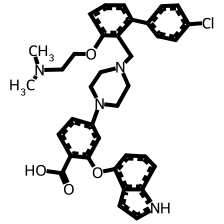 CN(C)CCOc1cccc(-c2ccc(Cl)cc2)c1CN1CCN(c2ccc(C(=O)O)c(Oc3cccc4[nH]ccc34)c2)CC1